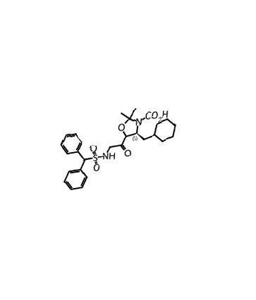 CC1(C)OC(C(=O)CNS(=O)(=O)C(c2ccccc2)c2ccccc2)[C@H](CC2CCCCC2)N1C(=O)O